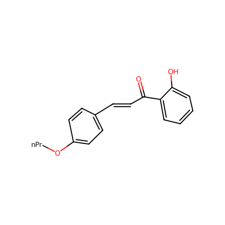 CCCOc1ccc(C=CC(=O)c2ccccc2O)cc1